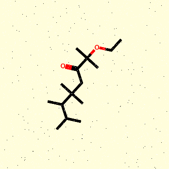 CCOC(C)(C)C(=O)CC(C)(C)C(C)C(C)C